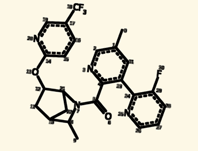 Cc1cnc(C(=O)N2C(C)C3CC(Oc4ccc(C(F)(F)F)cn4)C2C3)c(-c2ncccc2F)c1